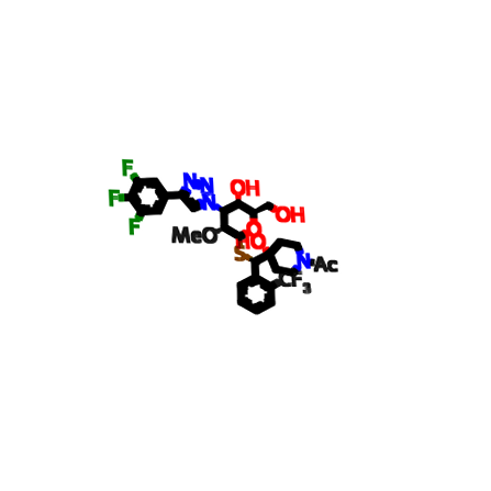 CO[C@@H]1[C@@H](n2cc(-c3cc(F)c(F)c(F)c3)nn2)[C@@H](O)[C@@H](CO)O[C@H]1S[C@H](c1ccccc1C(F)(F)F)C1(O)CCN(C(C)=O)CC1